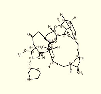 C=C1C[C@@H]2CC[C@@]34C[C@H]5OC6[C@@H](O[C@H]7CC[C@@H]8CC(=O)C[C@@H]9[C@@H](OC)[C@@H](C[C@H]%10CNCCO%10)O[C@H]9C[C@H]9O[C@@H](CC[C@@H]1O2)C[C@@H](C)/C9=N/[C@@]7(O8)[C@@H]6O3)[C@H]5O4